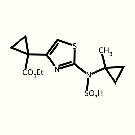 CCOC(=O)C1(c2csc(N(C3(C)CC3)S(=O)(=O)O)n2)CC1